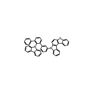 c1ccc(-c2cccc(-c3cccc(-n4c5ccccc5c5c6c(ccc54)sc4ccccc46)c3)c2-n2c3ccccc3c3ccccc32)cc1